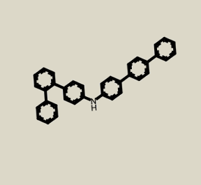 c1ccc(-c2ccc(-c3ccc(Nc4ccc(-c5ccccc5-c5ccccc5)cc4)cc3)cc2)cc1